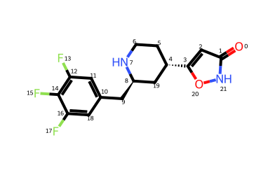 O=c1cc([C@H]2CCN[C@H](Cc3cc(F)c(F)c(F)c3)C2)o[nH]1